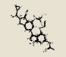 CCOc1nc(NC(C)=O)nc2[nH]cc(-c3cc4c(c(OC(F)F)c3)C(=O)N([C@@H](C)C3CC3)C4)c12